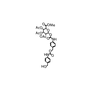 COC(=O)C1OC(OC(=O)Nc2ccc(COC(=O)Nc3ccc(CO)cc3)cc2)C(OC(C)=O)C(OC(C)=O)C1OC(C)=O